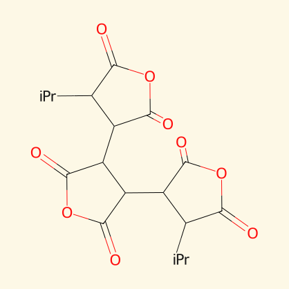 CC(C)C1C(=O)OC(=O)C1C1C(=O)OC(=O)C1C1C(=O)OC(=O)C1C(C)C